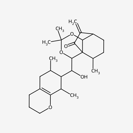 C=C1C(=O)C23C(C)CCC1C2OC(C)(C)OC3C(O)C1C(C)CC2=C(OCCC2)C1C